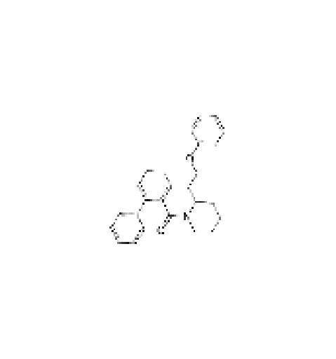 O=C(c1ccccc1-c1ccccc1)N1CCCCC1CCOc1ccccc1